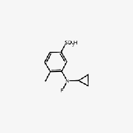 Cc1ccc(S(=O)(=O)O)cc1N(F)C1CC1